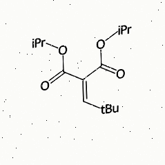 CC(C)OC(=O)C(=CC(C)(C)C)C(=O)OC(C)C